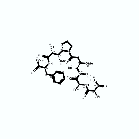 CC[C@H](C)[C@@H](C(CC(=O)N1CCC[C@H]1[C@H](OC)[C@@H](C)C(=O)N[C@@H](Cc1ccccc1)C(=O)OC)OC)N(C)C(=O)[C@@H](NC(=O)[C@H](C(C)C)N(C)C(C)C)C(C)C